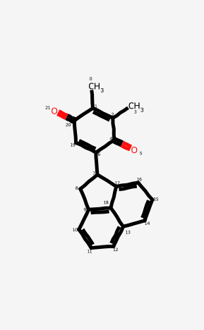 CC1=C(C)C(=O)C(C2Cc3cccc4cccc2c34)=CC1=O